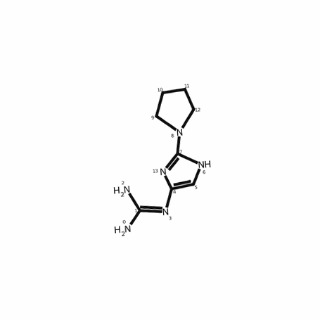 NC(N)=Nc1c[nH]c(N2CCCC2)n1